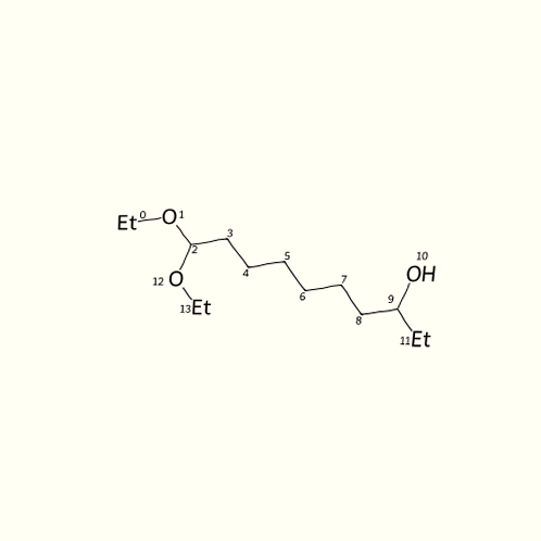 CCOC(CCCCCCC(O)CC)OCC